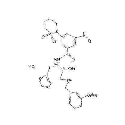 CCNc1cc(C(=O)N[C@@H](Cc2cccs2)[C@H](O)CNCc2cccc(OC)c2)cc(N2CCCCS2(=O)=O)c1.Cl